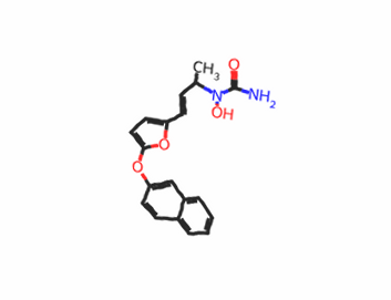 CC(/C=C/c1ccc(Oc2ccc3ccccc3c2)o1)N(O)C(N)=O